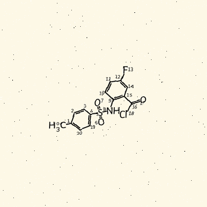 Cc1ccc(S(=O)(=O)Nc2ccc(F)cc2C(=O)Cl)cc1